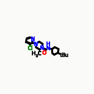 C[C@@H]1CN(c2ncccc2Cl)CCN1C(=O)NC1CCC(C(C)(C)C)CC1